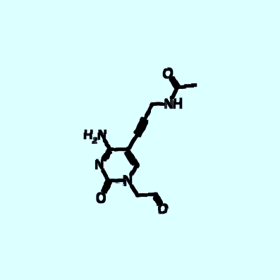 CC(=O)NCC#Cc1cn(CC=O)c(=O)nc1N